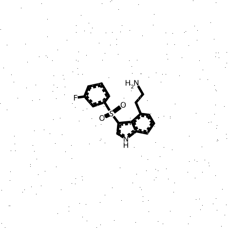 NCCc1cccc2[nH]cc(S(=O)(=O)c3cccc(F)c3)c12